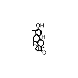 Cc1c(O)ccc2c1CC[C@@H]1[C@@H]2CC[C@]2(C)C(=O)CC[C@@H]12